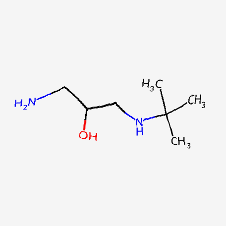 CC(C)(C)NCC(O)CN